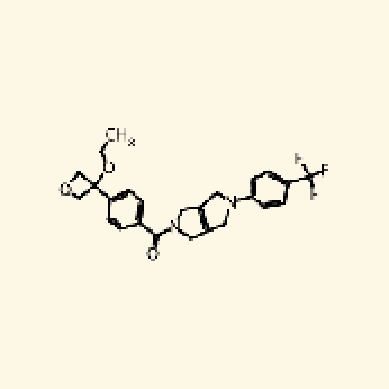 CCOC1(c2ccc(C(=O)N3CC4=C(C3)CN(c3ccc(C(F)(F)F)cc3)C4)cc2)COC1